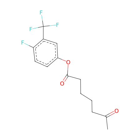 CC(=O)CCCCC(=O)Oc1ccc(F)c(C(F)(F)F)c1